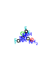 NC(=O)[C@H]1CC[C@H](n2c(Nc3c(F)cc(F)cc3Cl)nc3cnc(NC4CCC(F)(F)CC4)nc32)CC1